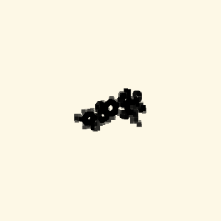 CNC(=O)c1ncn(C2CCC3(CC2)CCN(c2ccc(F)cc2Cl)C3=O)c1C(N)=O